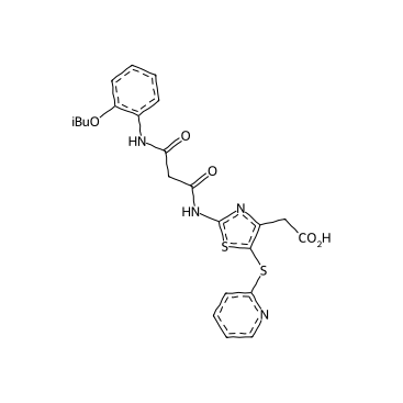 CC(C)COc1ccccc1NC(=O)CC(=O)Nc1nc(CC(=O)O)c(Sc2ccccn2)s1